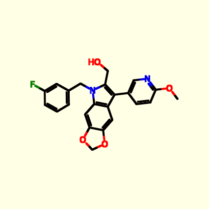 COc1ccc(-c2c(CO)n(Cc3cccc(F)c3)c3cc4c(cc23)OCO4)cn1